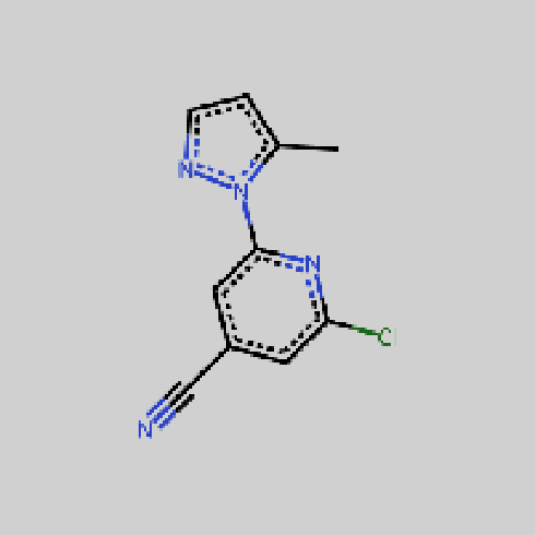 Cc1ccnn1-c1cc(C#N)cc(Cl)n1